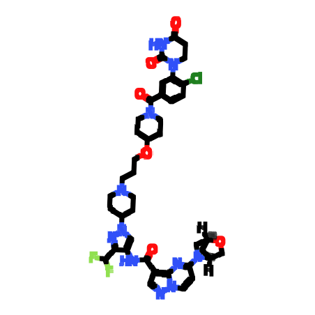 O=C1CCN(c2cc(C(=O)N3CCC(OCCCN4CCC(n5cc(NC(=O)c6cnn7ccc(N8C[C@H]9C[C@@H]8CO9)nc67)c(C(F)F)n5)CC4)CC3)ccc2Cl)C(=O)N1